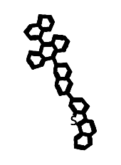 c1ccc2c(-c3c4ccccc4c(-c4ccc5cc(-c6ccc7c(c6)sc6c8ccccc8ccc76)ccc5c4)c4ccccc34)cccc2c1